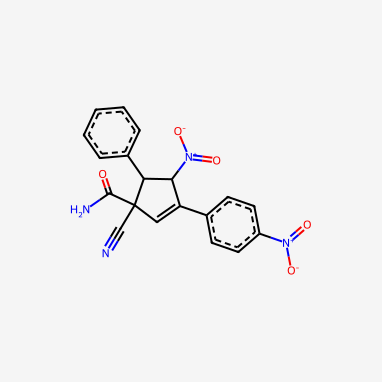 N#CC1(C(N)=O)C=C(c2ccc([N+](=O)[O-])cc2)C([N+](=O)[O-])C1c1ccccc1